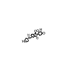 O=C1CCC(N2C(=O)c3ccc(CNC4CCNCC4)cc3C2=O)C(=O)N1